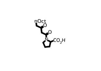 CCCCCCCCCC(=O)CC(=O)N1CCCC1C(=O)O